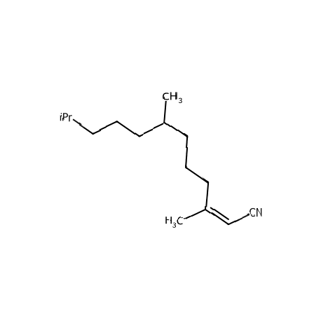 CC(=CC#N)CCCC(C)CCCC(C)C